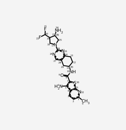 Cc1ccc2c(N)c(C(=O)N[C@@H]3CCc4nc(N5CC(C(F)F)[C@@H](N)C5)ncc4C3)sc2n1